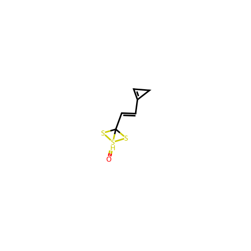 O=[SH]12SC1(/C=C/C1=CC1)S2